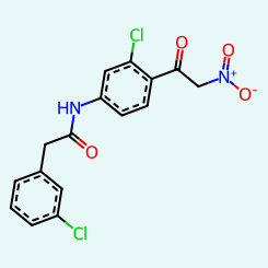 O=C(Cc1cccc(Cl)c1)Nc1ccc(C(=O)C[N+](=O)[O-])c(Cl)c1